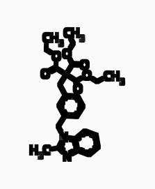 CCOC(=O)C(Cc1cccc(Cn2c(C)nc3ccccc32)c1)(C(=O)OCC)C(=O)OCC